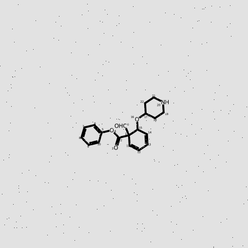 O=CC1(C(=O)Oc2ccccc2)C=CC=CC1OC1CCNCC1